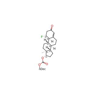 CCCCCCCCCCOC(=O)O[C@H]1CC[C@H]2[C@@H]3CCC4=CC(=O)C[C@@H](F)[C@@H]4[C@H]3CC[C@]12C